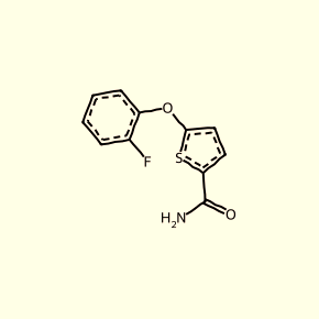 NC(=O)c1ccc(Oc2ccccc2F)s1